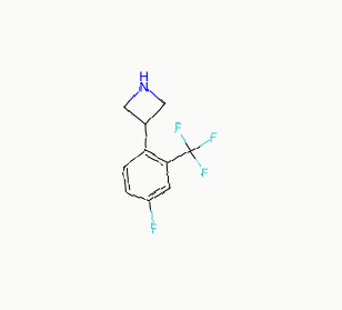 Fc1ccc(C2CNC2)c(C(F)(F)F)c1